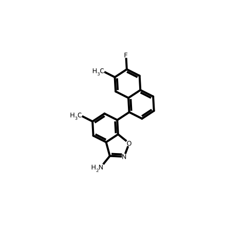 Cc1cc(-c2cccc3cc(F)c(C)cc23)c2onc(N)c2c1